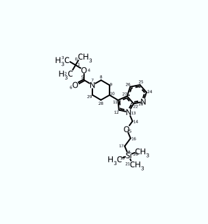 CC(C)(C)OC(=O)N1CCC(c2cn(COCC[Si](C)(C)C)c3ncccc23)CC1